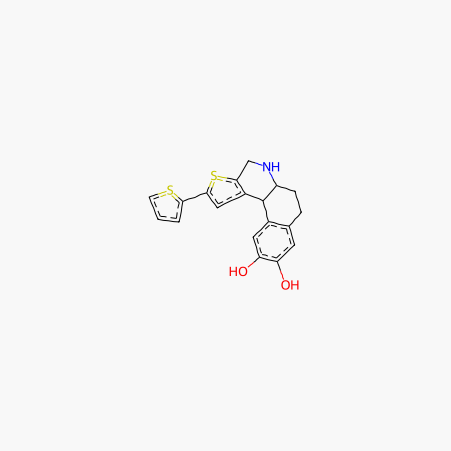 Oc1cc2c(cc1O)C1c3cc(-c4cccs4)sc3CNC1CC2